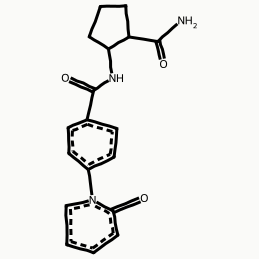 NC(=O)C1CCCC1NC(=O)c1ccc(-n2ccccc2=O)cc1